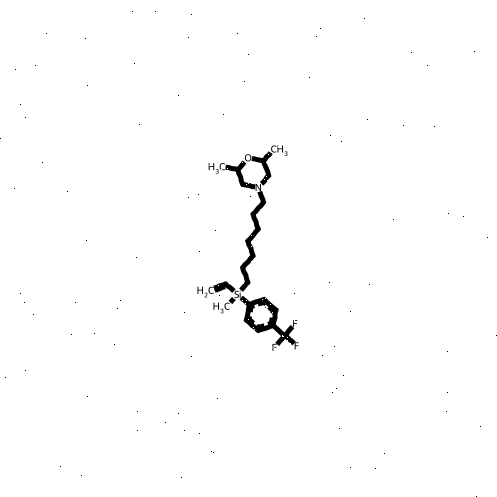 C=C[Si](C)(CCCCCCCN1CC(C)OC(C)C1)c1ccc(C(F)(F)F)cc1